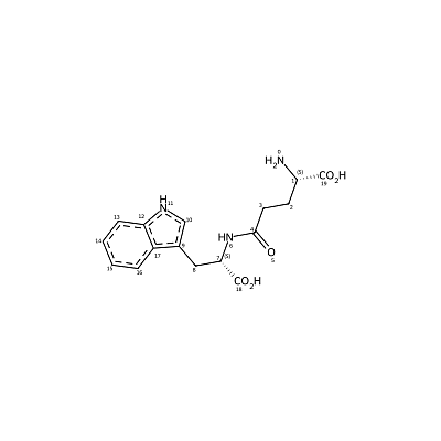 N[C@@H](CCC(=O)N[C@@H](Cc1c[nH]c2ccccc12)C(=O)O)C(=O)O